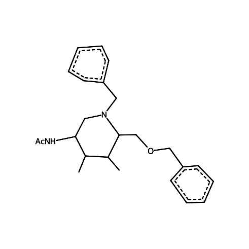 CC(=O)NC1CN(Cc2ccccc2)C(COCc2ccccc2)C(C)C1C